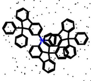 c1ccc(C2(c3ccccc3)c3ccccc3-c3cc(N(c4ccc5c(c4)C(c4ccccc4)(c4ccccc4)c4ccccc4-5)c4cccc5c4C(c4ccccc4)(c4ccccc4)c4ccccc4-5)ccc32)cc1